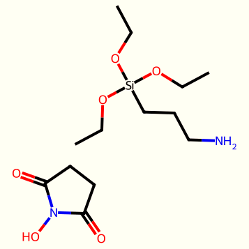 CCO[Si](CCCN)(OCC)OCC.O=C1CCC(=O)N1O